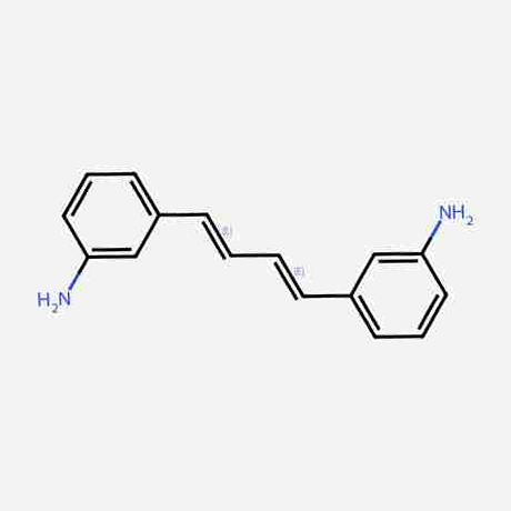 Nc1cccc(/C=C/C=C/c2cccc(N)c2)c1